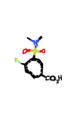 CN(C)S(=O)(=O)c1cc(C(=O)O)ccc1F